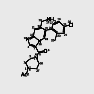 CC(=O)N1CCN(C(=O)c2cnc3cc(CN)c(-c4ccc(Cl)cc4C)cn23)CC1